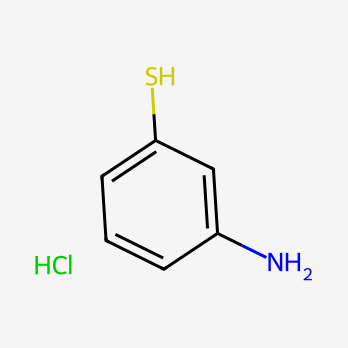 Cl.Nc1cccc(S)c1